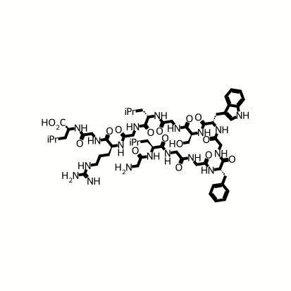 CC(C)C[C@H](NC(=O)CNC(=O)[C@H](CCCNC(=N)N)NC(=O)CNC(=O)[C@H](CC(C)C)NC(=O)CNC(=O)[C@H](CO)NC(=O)[C@H](Cc1c[nH]c2ccccc12)NC(=O)CNC(=O)[C@H](Cc1ccccc1)NC(=O)CNC(=O)CNC(=O)[C@H](CC(C)C)NC(=O)CN)C(=O)O